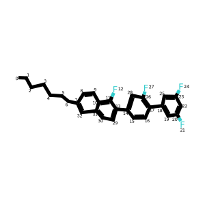 CCCCCCCc1ccc2c(F)c(-c3ccc(-c4cc(F)cc(F)c4)c(F)c3)ccc2c1